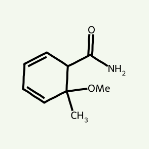 COC1(C)C=CC=CC1C(N)=O